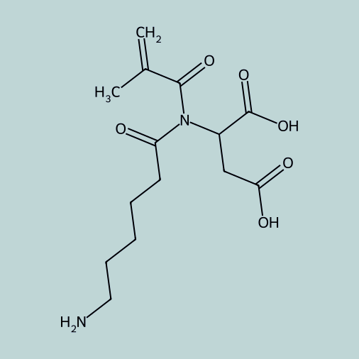 C=C(C)C(=O)N(C(=O)CCCCCN)C(CC(=O)O)C(=O)O